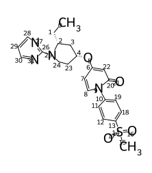 CC[C@@H]1C[C@H](Oc2ccn(-c3ccc(S(C)(=O)=O)cc3)c(=O)c2)CCN1c1ncccn1